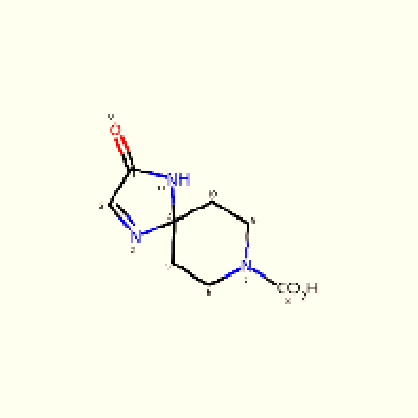 O=C1C=NC2(CCN(C(=O)O)CC2)N1